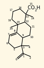 C=C(C)C1(C)CCC=C2C1CCC1C(C)(C(=O)O)CCCC21C